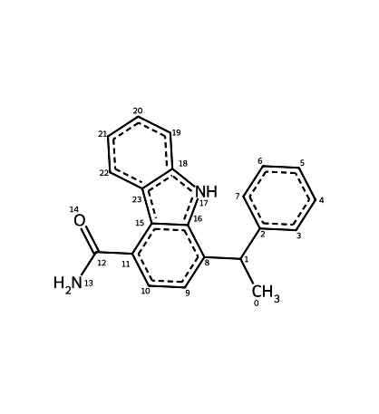 CC(c1ccccc1)c1ccc(C(N)=O)c2c1[nH]c1ccccc12